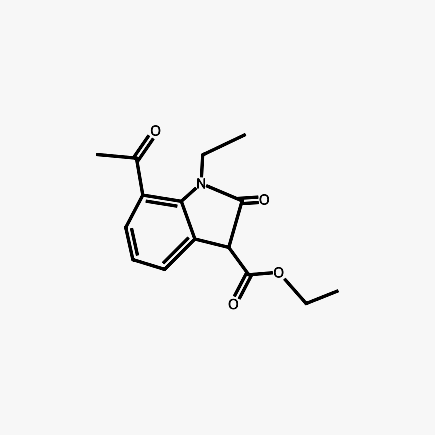 CCOC(=O)C1C(=O)N(CC)c2c(C(C)=O)cccc21